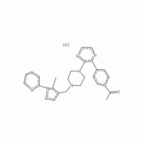 CC(=O)c1ccc(-c2nccnc2N2CCN(Cc3cnn(-c4ccccn4)c3C)CC2)cc1.Cl